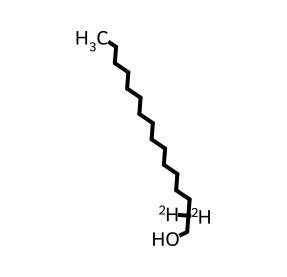 [2H]C([2H])(CO)CCCCCCCCCCCCCC